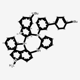 Cn1ccc2c3c(ccc21)Bc1ccccc1N(c1cccc(C2=CC=C(C(C)(C)C)CC2)c1)c1c(oc2ccc(C(C)(C)C)cc12)N3c1ccccc1